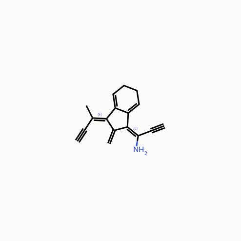 C#C/C(C)=C1\C(=C)/C(=C(\N)C#C)C2=CCCC=C21